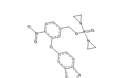 O=[N+]([O-])c1ccc(COP(=O)(N2CC2)N2CC2)cc1Oc1ccc2ncsc2c1